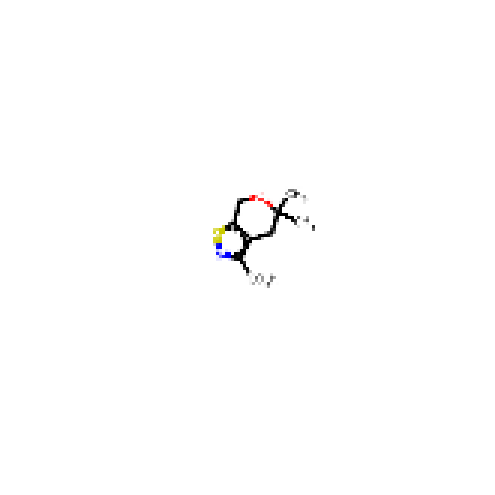 CC1(C)Cc2c(C(=O)O)nsc2CO1